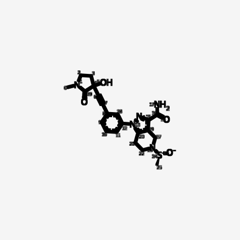 CN1CCC(O)(C#Cc2cccc(-n3nc(C(N)=O)c4c3CCN([S@+](C)[O-])C4)c2)C1=O